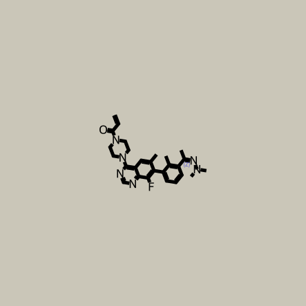 C=CC(=O)N1CCN(c2ncnc3c(F)c(-c4cccc(/C(C)=N\N(C)C)c4C)c(C)cc23)CC1